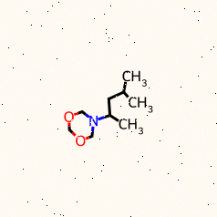 CC(C)CC(C)N1COCOC1